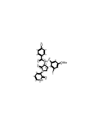 COc1cc(F)c([C@@H]2CN(c3ccc[nH]c3=O)C(=O)[C@H]2NC(=O)c2ccc(Cl)cc2)c(F)c1